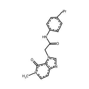 CC(C)c1ccc(NC(=O)Cn2cnc3ccn(C)c(=O)c32)cc1